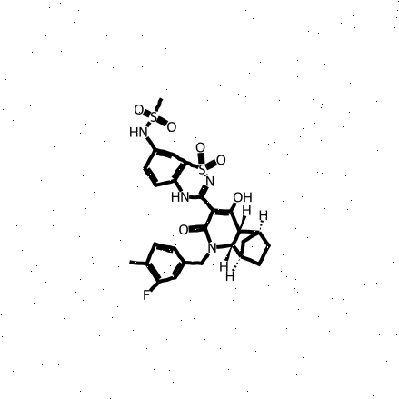 Cc1ccc(CN2C(=O)C(C3=NS(=O)(=O)c4cc(NS(C)(=O)=O)ccc4N3)=C(O)[C@@H]3[C@H]4CC[C@H](C4)[C@@H]32)cc1F